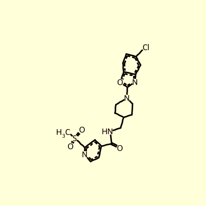 CS(=O)(=O)c1cc(C(=O)NCC2CCN(c3nc4cc(Cl)ccc4o3)CC2)ccn1